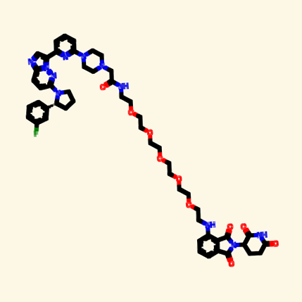 O=C(CN1CCN(c2cccc(-c3cnc4ccc(N5CCC[C@@H]5c5cccc(F)c5)nn34)n2)CC1)NCCOCCOCCOCCOCCOCCNc1cccc2c1C(=O)N(C1CCC(=O)NC1=O)C2=O